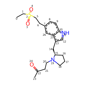 CCS(=O)(=O)CCc1ccc2[nH]cc(C[C@H]3CCCN3CCC(C)=O)c2c1